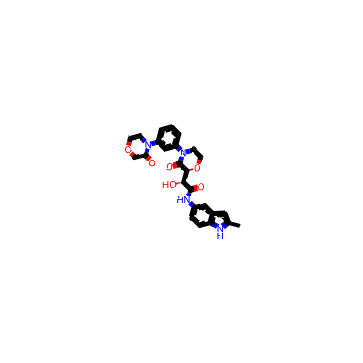 Cc1cc2cc(NC(=O)[C@H](O)[C@H]3OCCN(c4cccc(N5CCOCC5=O)c4)C3=O)ccc2[nH]1